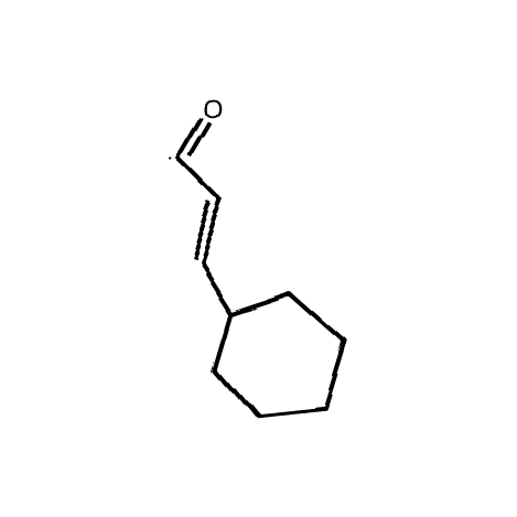 O=[C]C=CC1CCCCC1